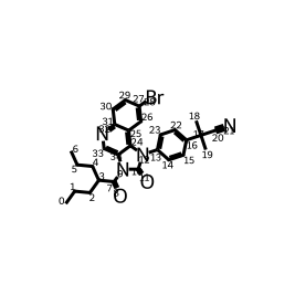 CCCC(CCC)C(=O)n1c(=O)n(-c2ccc(C(C)(C)C#N)cc2)c2c3cc(Br)ccc3ncc21